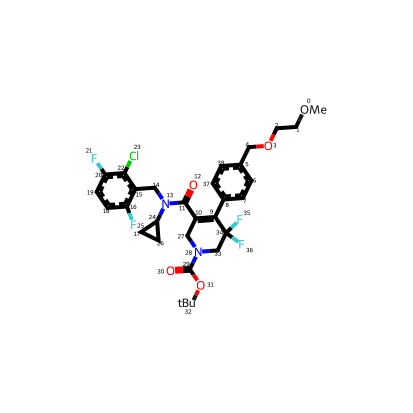 COCCOCc1ccc(C2=C(C(=O)N(Cc3c(F)ccc(F)c3Cl)C3CC3)CN(C(=O)OC(C)(C)C)CC2(F)F)cc1